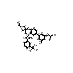 O=CN1CC2(C1)CN(S(=O)(=O)c1cccc(C(F)(F)F)c1)c1cc(-c3cc(F)cc(OC(F)F)c3)ccc1O2